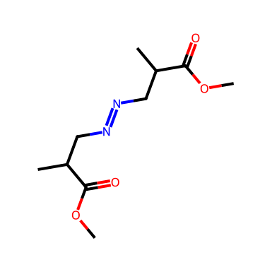 COC(=O)C(C)CN=NCC(C)C(=O)OC